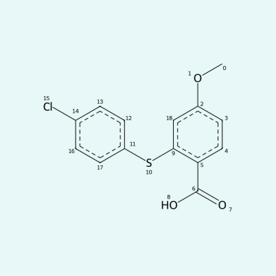 COc1ccc(C(=O)O)c(Sc2ccc(Cl)cc2)c1